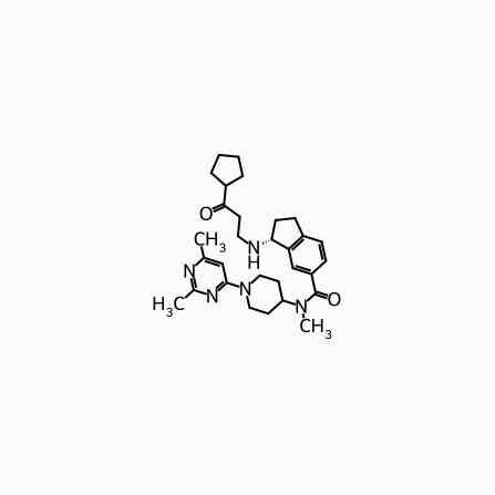 Cc1cc(N2CCC(N(C)C(=O)c3ccc4c(c3)[C@H](NCCC(=O)C3CCCC3)CC4)CC2)nc(C)n1